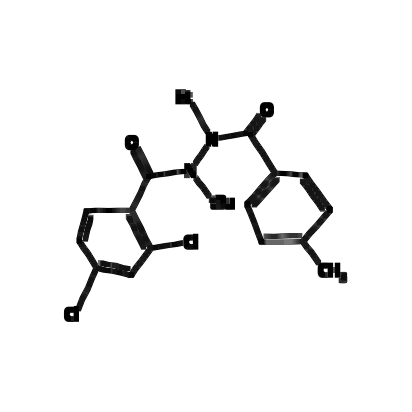 CCN(C(=O)c1ccc(C)cc1)N(C(=O)c1ccc(Cl)cc1Cl)C(C)(C)C